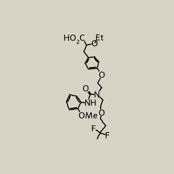 CCOC(Cc1ccc(OCCN(CCOCCC(C)(F)F)C(=O)Nc2ccccc2OC)cc1)C(=O)O